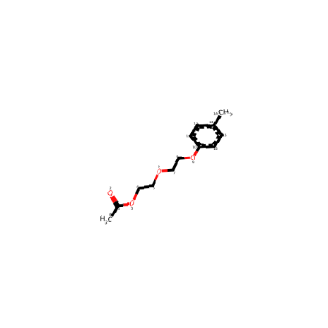 CC(=O)OCCOCCOc1ccc(C)cc1